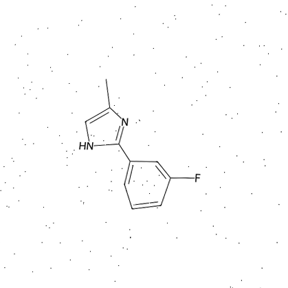 Cc1c[nH]c(-c2cccc(F)c2)n1